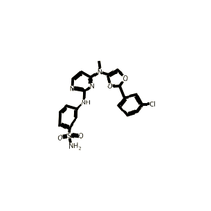 CN(C1=COC(c2cccc(Cl)c2)O1)c1ccnc(Nc2cccc(S(N)(=O)=O)c2)n1